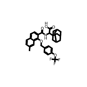 Cc1ccc2ccc(C(=O)NC(C(=O)O)C34CC5CC(CC(C5)C3)C4)c(OCc3ccc(OC(F)(F)F)cc3)c2c1